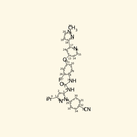 CC(C)c1cc(NC(=O)Nc2ccc(Oc3ccnc(-c4ccn(C)n4)c3)cc2F)n(-c2ccc(C#N)cc2)n1